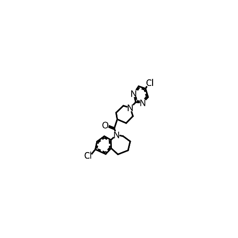 O=C(C1CCN(c2ncc(Cl)cn2)CC1)N1CCCCc2cc(Cl)ccc21